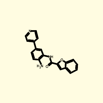 Nc1ccc(-c2ccncc2)cc1NC(=O)c1cc2ccccc2o1